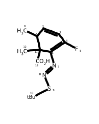 CC1C=CC(F)=C(N=NSC(C)(C)C)C1(C)C(=O)O